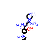 N/C(=C\C=C(/N)N1CCCNCC1)c1ccc(N2C=CCN2)cc1O